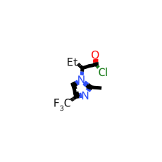 CCC(C(=O)Cl)n1cc(C(F)(F)F)nc1C